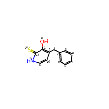 Oc1c(Cc2ccccc2)cc[nH]c1=S